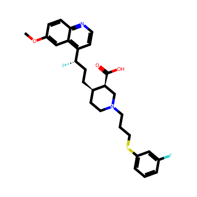 COc1ccc2nccc([C@@H](F)CC[C@@H]3CCN(CCCSc4cccc(F)c4)C[C@@H]3C(=O)O)c2c1